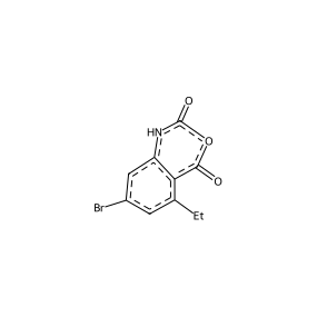 CCc1cc(Br)cc2[nH]c(=O)oc(=O)c12